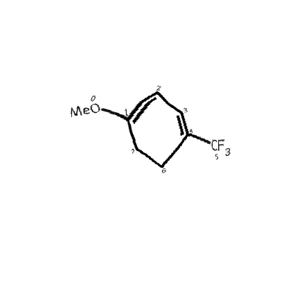 COC1=CC=C(C(F)(F)F)C[CH]1